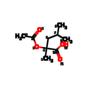 CC(=O)OC(C)(CC(C)C)C(=O)O